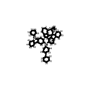 CCc1ccc2cccc3c2c1C1(c2ccccc2-c2ccc(N(c4ccc(-c5ccccc5)cc4)c4ccc5c(c4)c4ccccc4n5-c4ccccc4)cc21)c1ccccc1-3